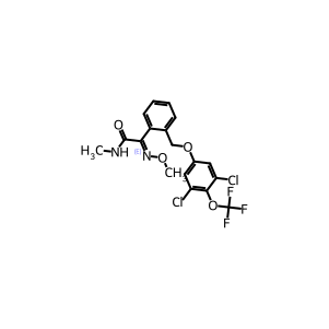 CNC(=O)/C(=N/OC)c1ccccc1COc1cc(Cl)c(OC(F)(F)F)c(Cl)c1